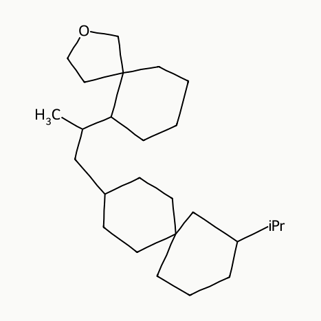 CC(C)C1CCCC2(CCC(CC(C)C3CCCCC34CCOC4)CC2)C1